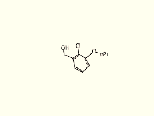 CCCOc1cccc(CO)c1Cl